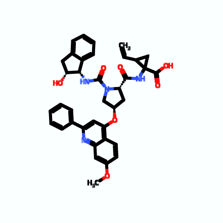 C=CC1CC1(NC(=O)[C@@H]1C[C@@H](Oc2cc(-c3ccccc3)nc3cc(OC)ccc23)CN1C(=O)N[C@H]1c2ccccc2C[C@H]1O)C(=O)O